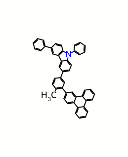 Cc1ccc(-c2ccc3c(c2)c2cc(-c4ccccc4)ccc2n3-c2ccccc2)cc1-c1ccc2c3ccccc3c3ccccc3c2c1